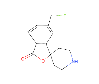 O=C1OC2(CCNCC2)c2cc(CF)ccc21